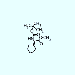 COC(=O)C(NC(=O)OC(C)(C)C)=C1CCCCC1